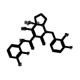 C[C@]12CCCN1N(Cc1cccc(F)c1Br)C(=O)C(C(=O)Nc1cccc(Cl)c1F)=C2O